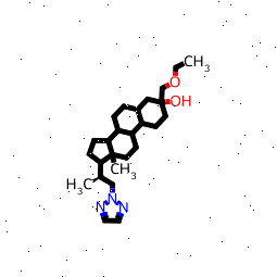 CCOCC1(O)CCC2C(CCC3C2CCC2(C)C3CCC2[C@H](C)Cn2nccn2)C1